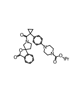 CC(C)OC(=O)N1CCN(c2ccc(C3(C(=O)N4CCC5(C4)OC(=O)c4ccccc45)CC3)cc2)CC1